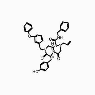 C=CCN1CC(=O)N2[C@@H](Cc3ccc(O)cc3)C(=O)N(Cc3cccc(Oc4ccccc4)c3)C[C@@H]2N1C(=O)NCc1ccccc1